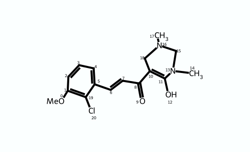 COc1cccc(/C=C/C(=O)C2=C(O)N(C)CN(C)C2)c1Cl